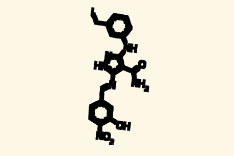 NC(=O)c1c(Nc2cccc(CI)c2)n[nH]c1/N=C/c1ccc([N+](=O)[O-])c(O)c1